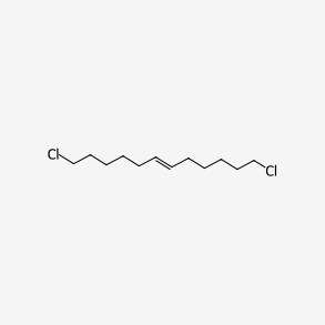 ClCCCCCC=CCCCCCCl